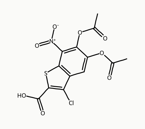 CC(=O)Oc1cc2c(Cl)c(C(=O)O)sc2c([N+](=O)[O-])c1OC(C)=O